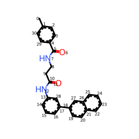 Cc1ccc(C(=O)NCCC(=O)Nc2cccc(-c3ccc4ccccc4c3)c2)cc1